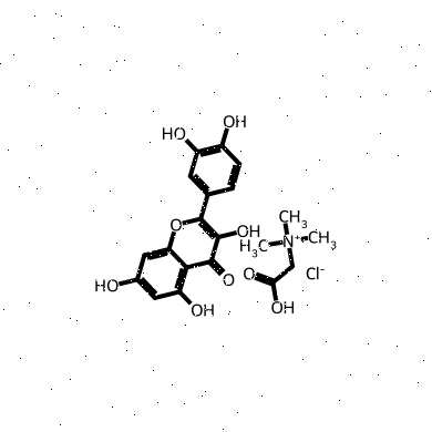 C[N+](C)(C)CC(=O)O.O=c1c(O)c(-c2ccc(O)c(O)c2)oc2cc(O)cc(O)c12.[Cl-]